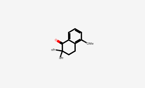 CCCC1(CCC)CCc2c(OC)cccc2C1=O